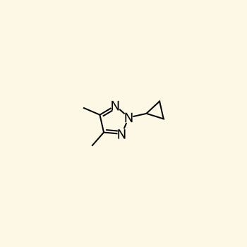 Cc1nn(C2CC2)nc1C